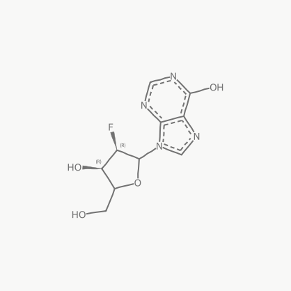 OCC1OC(n2cnc3c(O)ncnc32)[C@H](F)[C@@H]1O